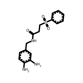 Nc1ccc(CNC(=O)CCS(=O)(=O)c2ccccc2)cc1N